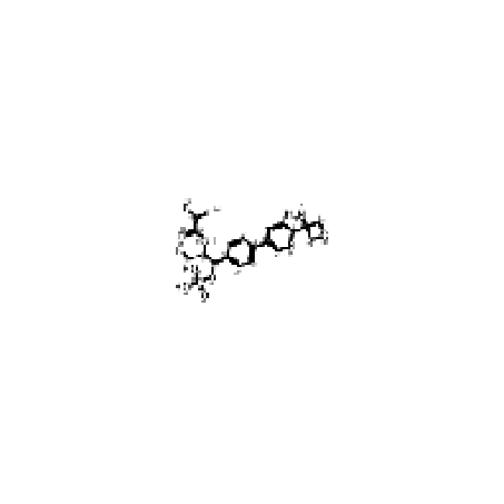 NC1(c2ccc(-c3ccc([C@@H](OP(=O)(O)O)[C@@H](CF)NC(=O)C(F)F)cc3)cn2)COC1